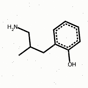 CC(CN)Cc1ccccc1O